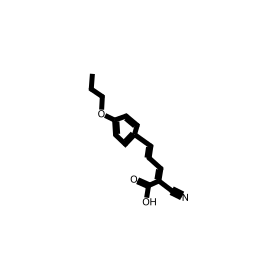 CCCOc1ccc(C=CC=C(C#N)C(=O)O)cc1